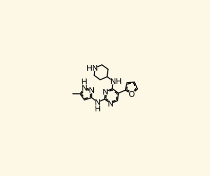 Cc1cc(Nc2ncc(-c3ccco3)c(NC3CCNCC3)n2)n[nH]1